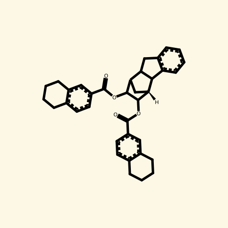 O=C(OC1C2C[C@@H](C1OC(=O)c1ccc3c(c1)CCCC3)C1c3ccccc3CC21)c1ccc2c(c1)CCCC2